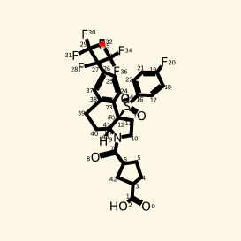 O=C(O)C1CCC(C(=O)N2CC[C@@]3(S(=O)(=O)c4ccc(F)cc4)c4ccc(C(F)(C(F)(F)F)C(F)(F)F)cc4CC[C@@H]23)C1